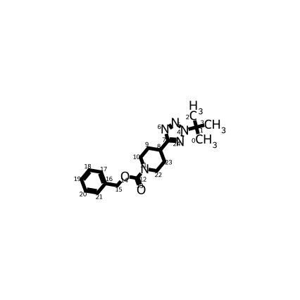 CC(C)(C)n1nnc(C2CCN(C(=O)OCc3ccccc3)CC2)n1